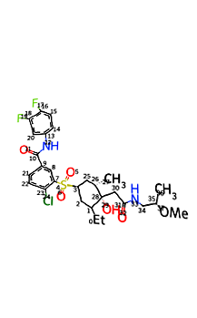 CCC1C[C@@H](S(=O)(=O)c2cc(C(=O)Nc3ccc(F)c(F)c3)ccc2Cl)C[C@H](C)[C@@]1(O)CC(=O)NC[C@H](C)OC